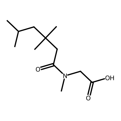 CC(C)CC(C)(C)CC(=O)N(C)CC(=O)O